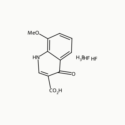 B.COc1cccc2c(=O)c(C(=O)O)c[nH]c12.F.F